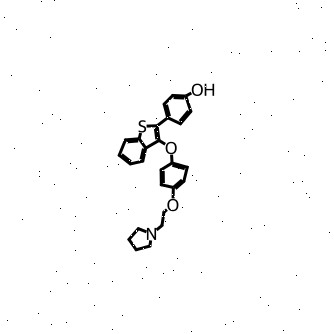 Oc1ccc(-c2sc3ccccc3c2Oc2ccc(OCCN3CCCC3)cc2)cc1